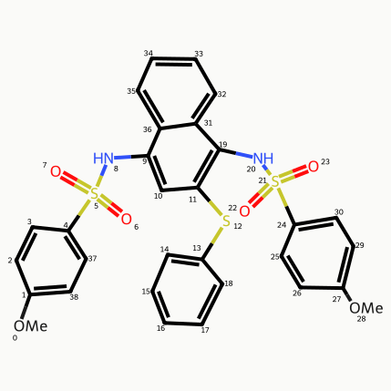 COc1ccc(S(=O)(=O)Nc2cc(Sc3ccccc3)c(NS(=O)(=O)c3ccc(OC)cc3)c3ccccc23)cc1